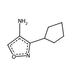 Nc1conc1C1CCCC1